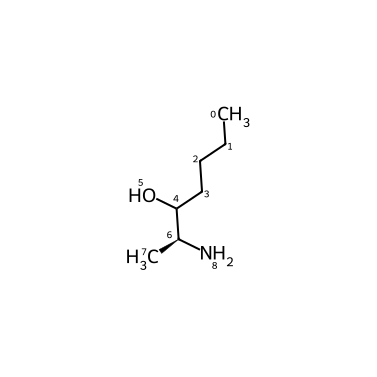 CCCCC(O)[C@H](C)N